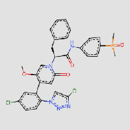 COc1cn([C@@H](Cc2ccccc2)C(=O)Nc2ccc(P(C)(C)=O)cc2)c(=O)cc1-c1cc(Cl)ccc1-n1cc(Cl)nn1